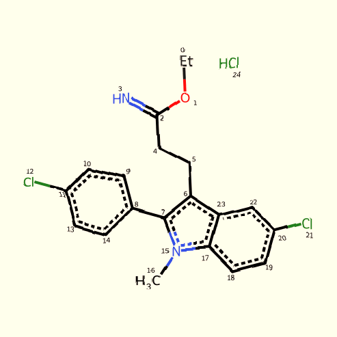 CCOC(=N)CCc1c(-c2ccc(Cl)cc2)n(C)c2ccc(Cl)cc12.Cl